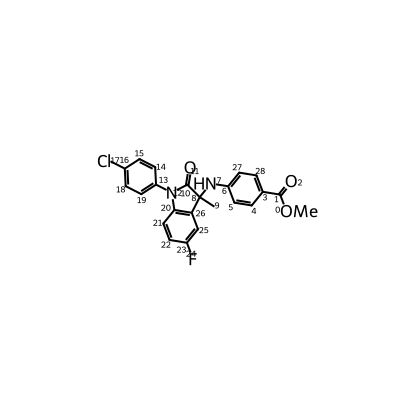 COC(=O)c1ccc(NC2(C)C(=O)N(c3ccc(Cl)cc3)c3ccc(F)cc32)cc1